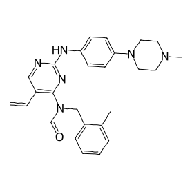 C=Cc1cnc(Nc2ccc(N3CCN(C)CC3)cc2)nc1N(C=O)Cc1ccccc1C